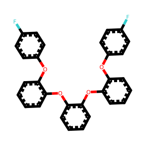 Fc1ccc(Oc2ccccc2Oc2ccccc2Oc2ccccc2Oc2ccc(F)cc2)cc1